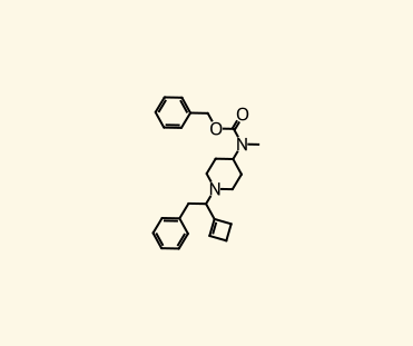 CN(C(=O)OCc1ccccc1)C1CCN(C(Cc2ccccc2)C2=CCC2)CC1